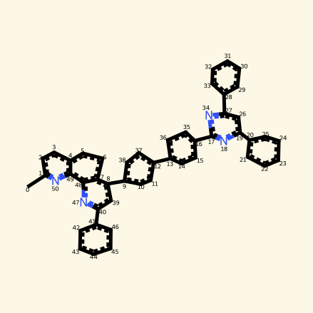 Cc1ccc2ccc3c(-c4ccc(-c5ccc(-c6nc(-c7ccccc7)cc(-c7ccccc7)n6)cc5)cc4)cc(-c4ccccc4)nc3c2n1